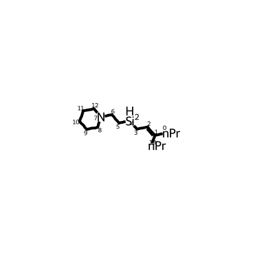 CCCC(=CC[SiH2]CCN1CCCCC1)CCC